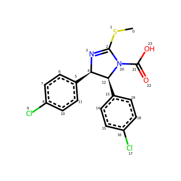 CSC1=N[C@H](c2ccc(Cl)cc2)[C@H](c2ccc(Cl)cc2)N1C(=O)O